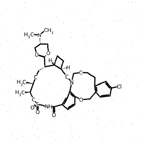 C[C@@H]1CS(=O)(=O)NC(=O)c2ccc3c(c2)N(CCCCc2cc(Cl)ccc2CO3)C[C@@H]2CC[C@H]2[C@@H]([C@H]2OC[C@@H](N(C)C)CO2)CC[C@@H]1C